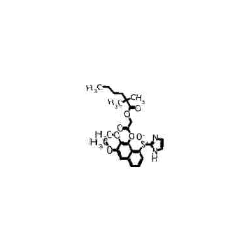 CCCCC(C)(C)C(=O)OCC(=O)Oc1c(OC)c(OC)cc2cccc([S+]([O-])c3ncc[nH]3)c12